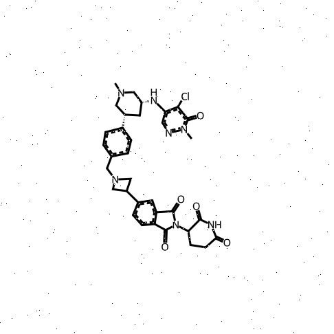 CN1C[C@H](Nc2cnn(C)c(=O)c2Cl)C[C@H](c2ccc(CN3CC(c4ccc5c(c4)C(=O)N(C4CCC(=O)NC4=O)C5=O)C3)cc2)C1